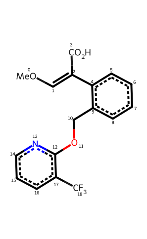 COC=C(C(=O)O)c1ccccc1COc1ncccc1C(F)(F)F